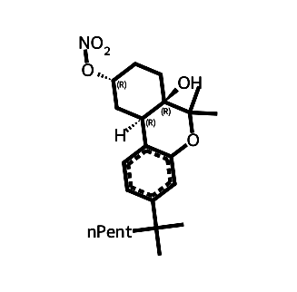 CCCCCC(C)(C)c1ccc2c(c1)OC(C)(C)[C@@]1(O)CC[C@@H](O[N+](=O)[O-])C[C@H]21